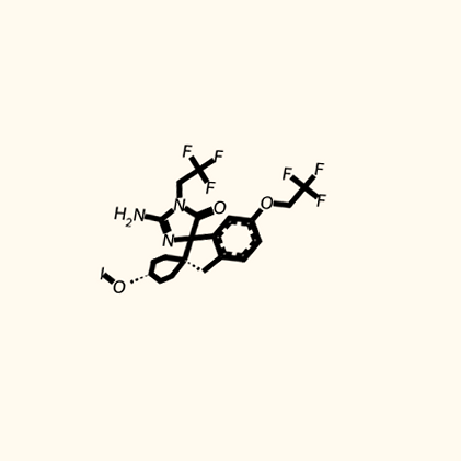 NC1=NC2(C(=O)N1CC(F)(F)F)c1cc(OCC(F)(F)F)ccc1C[C@]21CC[C@@H](OI)CC1